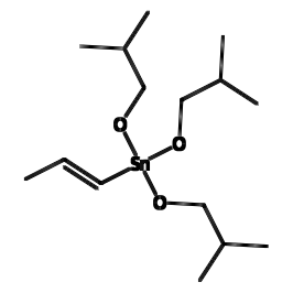 CC=[CH][Sn]([O]CC(C)C)([O]CC(C)C)[O]CC(C)C